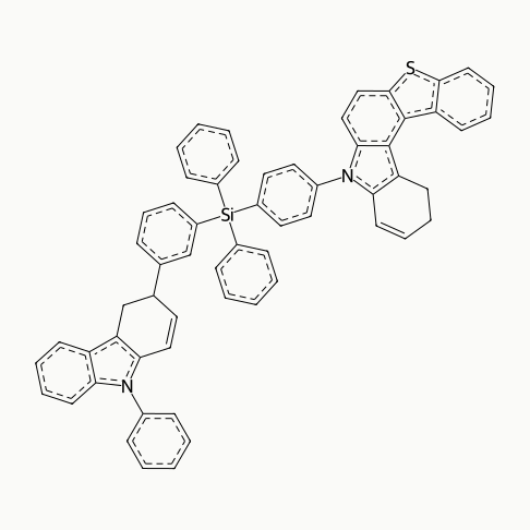 C1=Cc2c(c3c4c(ccc3n2-c2ccc([Si](c3ccccc3)(c3ccccc3)c3cccc(C5C=Cc6c(c7ccccc7n6-c6ccccc6)C5)c3)cc2)sc2ccccc24)CC1